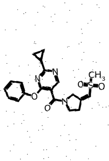 CS(=O)(=O)/C=C1/CCN(C(=O)c2cnc(C3CC3)nc2Oc2ccccc2)C1